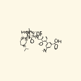 COc1c(-c2cc(C(=O)O)cc(N(C)C)c2)ccc(F)c1CN1OC[C@@H]([C@H](C)O)[C@H]1C(=O)N[C@H]1C[C@H](C(C)C)CC[C@@H]1C